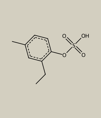 CCc1cc(C)ccc1OS(=O)(=O)O